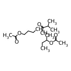 CC(=O)C(C)C.CCC(C)OC(C)=O.CCCCOC(C)=O